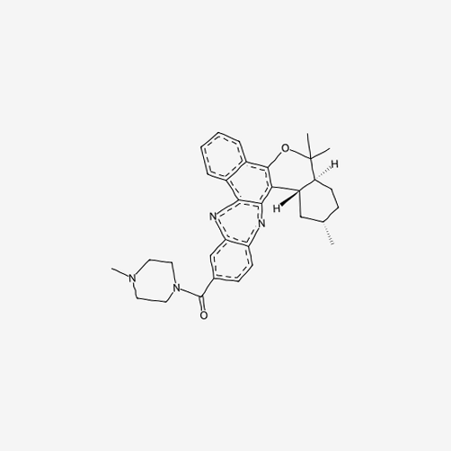 C[C@H]1CC[C@H]2[C@H](C1)c1c(c3ccccc3c3nc4cc(C(=O)N5CCN(C)CC5)ccc4nc13)OC2(C)C